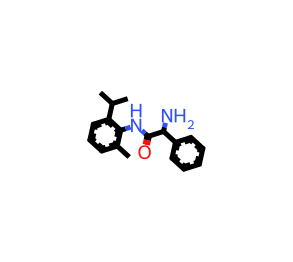 Cc1cccc(C(C)C)c1NC(=O)C(N)c1ccccc1